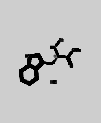 CCN[C@@H](Cc1c[nH]c2ccccc12)C(=O)OC.Cl